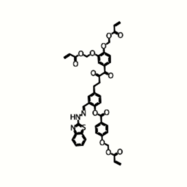 C=CC(=O)OCOc1ccc(C(=O)Oc2ccc(CCC(=O)C(=O)c3ccc(OCOC(=O)C=C)c(OCOC(=O)C=C)c3)cc2/C=N/Nc2nc3ccccc3s2)cc1